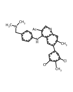 CC(=O)c1cnc2cc(C)c(-c3cc(Cl)c(C)c(Cl)c3)cc2c1Nc1ccc(CN(C)C)cc1